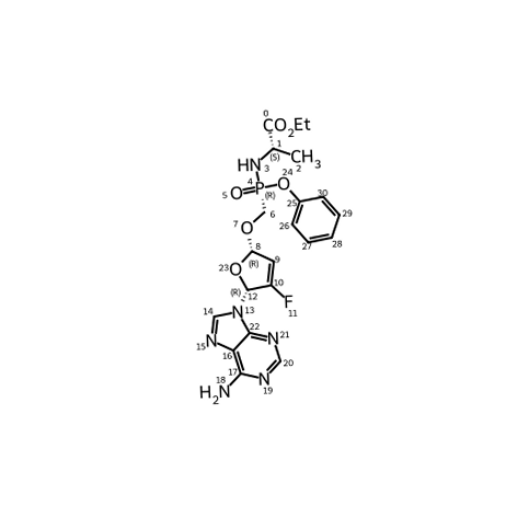 CCOC(=O)[C@H](C)N[P@@](=O)(CO[C@@H]1C=C(F)[C@H](n2cnc3c(N)ncnc32)O1)Oc1ccccc1